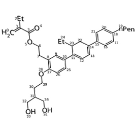 C=C(CC)C(=O)OCCc1cc(C2=CC=C(c3ccc(CCCCC)cc3)CC2CC)ccc1OCCC(CO)CO